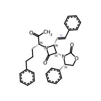 CC(=O)[C@@H](CCCc1ccccc1)N1C(=O)[C@@H](N2C(=O)OC[C@@H]2c2ccccc2)[C@H]1/C=C/c1ccccc1